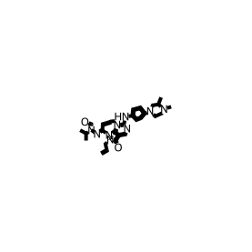 C=CCn1c(=O)c2cnc(Nc3ccc(N4CCN(C)C(C)C4)cc3)nc2n1C(/C=C\C)=N/N(C=O)C(C)C